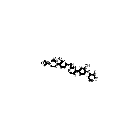 COc1nc(Nc2ncc(F)c(-c3ccc(OC4CCNCC4F)c(C#N)c3)n2)ccc1N1CCN(C2COC2)CC1